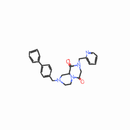 O=C1C2CN(Cc3ccc(-c4ccccc4)cc3)CCN2C(=O)CN1Cc1ccccn1